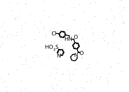 O=C(NCc1ccc(Cl)cc1)c1ccc(C(=O)N2CCCCC2)cc1.O=S(=O)(O)c1cccnc1